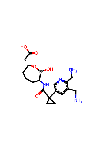 NCc1cc(C2(C(=O)N[C@H]3CCC[C@H](CC(=O)O)OB3O)CC2)cnc1CN